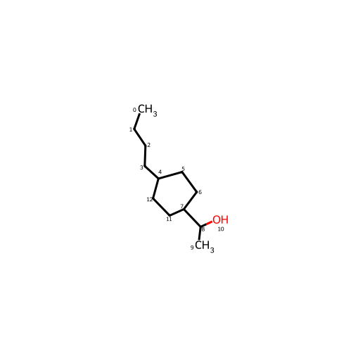 CCCCC1CCC(C(C)O)CC1